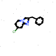 Clc1ccn2cc(Cc3ccccc3)nc2c1